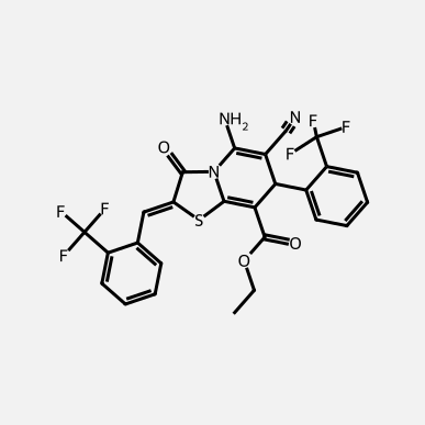 CCOC(=O)C1=c2sc(=Cc3ccccc3C(F)(F)F)c(=O)n2C(N)=C(C#N)C1c1ccccc1C(F)(F)F